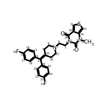 Cn1c(=O)n(CCN2CCC(=C(c3ccc(F)cc3)c3ccc(F)cc3)CC2)c(=O)c2cscc21